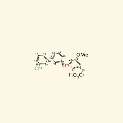 COc1cc(CC(=O)O)cc(Oc2cccc(-c3cccc(Cl)c3)c2)c1